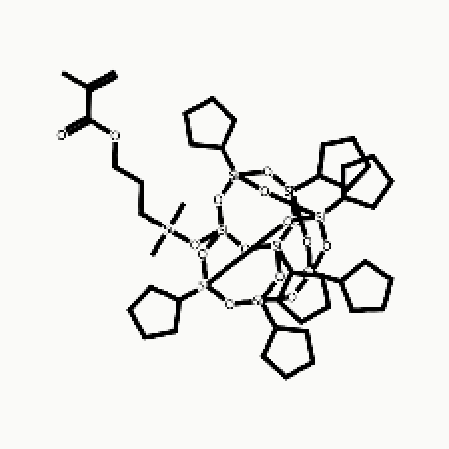 C=C(C)C(=O)OCCC[Si](C)(C)O[Si]12O[Si]3(C4CCCC4)O[Si]4(C5CCCC5)O[Si](C5CCCC5)(O1)O[Si]1(C5CCCC5)O[Si](C5CCCC5)(O2)O[Si](C2CCCC2)(O3)O[Si](C2CCCC2)(O4)O1